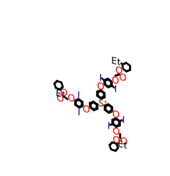 CCC1CCCCC1OC(=O)COc1cc(I)c(Oc2ccc([S+](c3ccc(Oc4cc(I)c(OCC(=O)OC5(CC)CCCCC5)cc4I)cc3)c3ccc(Oc4cc(I)c(OCC(=O)OC5(CC)CCCCC5)cc4I)cc3)cc2)cc1I